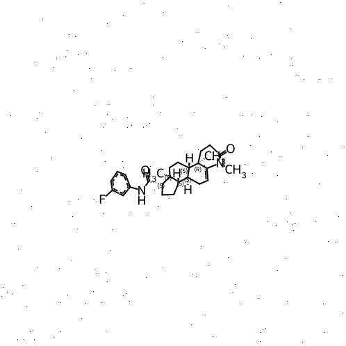 CN1C(=O)CC[C@@]2(C)C1=CC[C@H]1[C@@H]3CC[C@H](C(=O)Nc4cccc(F)c4)[C@@]3(C)CC[C@@H]12